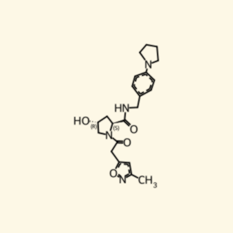 Cc1cc(CC(=O)N2C[C@H](O)C[C@H]2C(=O)NCc2ccc(N3CCCC3)cc2)on1